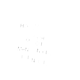 CN=C(NC)N(C)C.O=C(O)C(=O)O.[LiH]